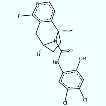 O=C(Nc1cc(Cl)c(Cl)cc1O)N1[C@H]2CC[C@@H]1c1ccnc(F)c1C2